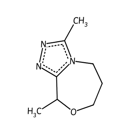 Cc1nnc2n1CCCOC2C